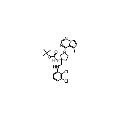 Cc1ccn2ncnc(N3CCC(CNc4cccc(Cl)c4Cl)(NC(=O)OC(C)(C)C)C3)c12